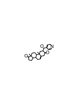 CC12CCC3C(CC=C4CC(=O)C(C(=O)c5ccncc5)CC43C)C1CCC2=O